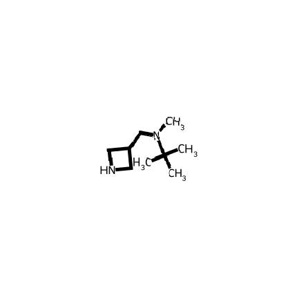 CN(CC1CNC1)C(C)(C)C